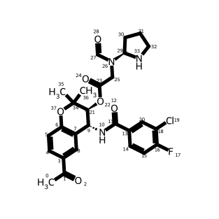 CC(=O)c1ccc2c(c1)[C@@H](NC(=O)c1ccc(F)c(Cl)c1)[C@H](OC(=O)CN(C=O)[C@H]1CCCN1)C(C)(C)O2